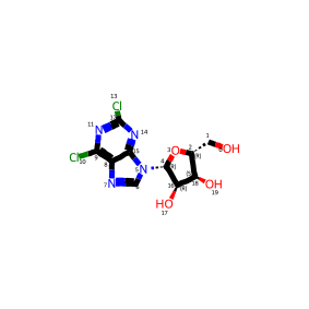 OC[C@H]1O[C@@H](n2cnc3c(Cl)nc(Cl)nc32)[C@H](O)[C@@H]1O